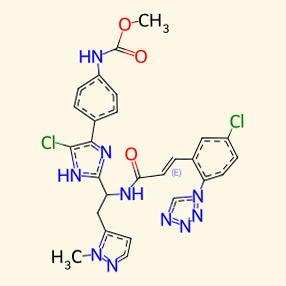 COC(=O)Nc1ccc(-c2nc(C(Cc3ccnn3C)NC(=O)/C=C/c3cc(Cl)ccc3-n3cnnn3)[nH]c2Cl)cc1